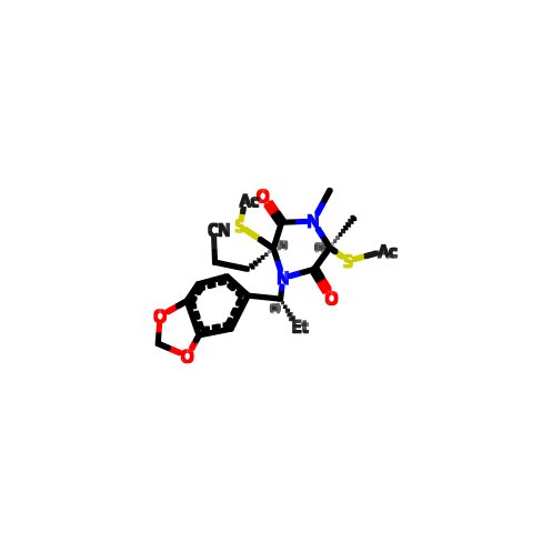 CC[C@H](c1ccc2c(c1)OCO2)N1C(=O)[C@](C)(SC(C)=O)N(C)C(=O)[C@]1(CCC#N)SC(C)=O